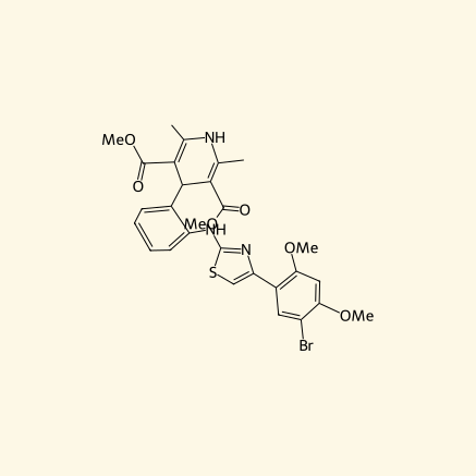 COC(=O)C1=C(C)NC(C)=C(C(=O)OC)C1c1ccccc1Nc1nc(-c2cc(Br)c(OC)cc2OC)cs1